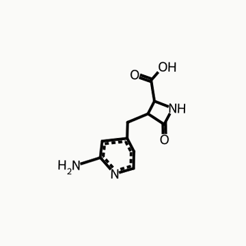 Nc1cc(CC2C(=O)NC2C(=O)O)ccn1